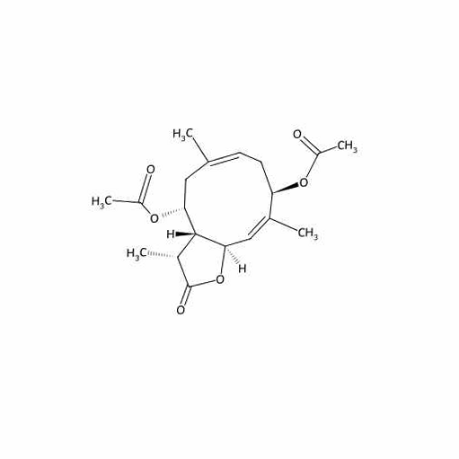 CC(=O)O[C@@H]1C/C=C(/C)C[C@@H](OC(C)=O)[C@@H]2[C@@H](/C=C\1C)OC(=O)[C@@H]2C